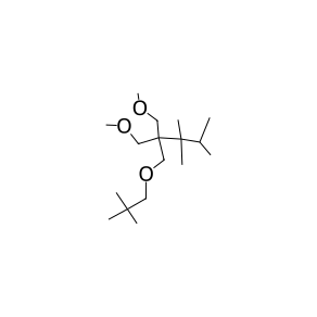 COCC(COC)(COCC(C)(C)C)C(C)(C)C(C)C